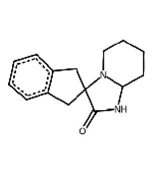 O=C1NC2CCCCN2C12Cc1ccccc1C2